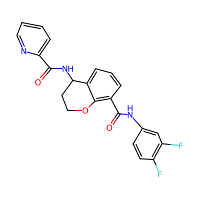 O=C(NC1CCOc2c(C(=O)Nc3ccc(F)c(F)c3)cccc21)c1ccccn1